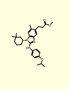 COC(=O)CCc1cc2nc(Nc3ccc(OC(C)C)cc3)n([C@H]3CCCC(C)(C)C3)c2cc1C